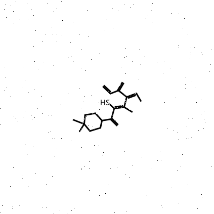 C=CC(=C)C(=C/C)/C(C)=C(\S)C(=C)C1CCC(C)(C)CC1